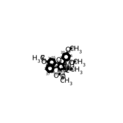 COC(=O)[C@H]1C(=O)[C@@]2(NN(C)C)c3c(OC)cc(OC)cc3O[C@@]2(c2ccc(OC)cc2)[C@@H]1c1ccccc1